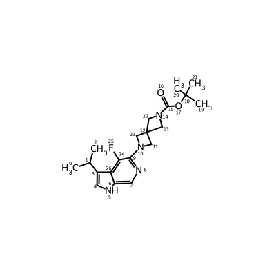 CC(C)c1c[nH]c2cnc(N3CC4(CN(C(=O)OC(C)(C)C)C4)C3)c(F)c12